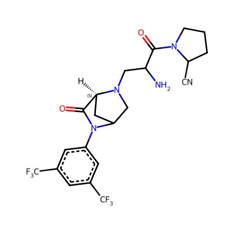 N#CC1CCCN1C(=O)C(N)CN1CC2C[C@H]1C(=O)N2c1cc(C(F)(F)F)cc(C(F)(F)F)c1